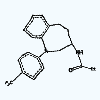 CCC(=O)NC1CCc2ccccc2N(c2ccc(C(F)(F)F)cc2)C1